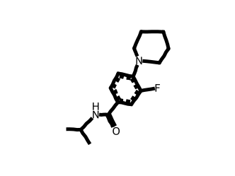 CC(C)NC(=O)c1ccc(N2CCCCC2)c(F)c1